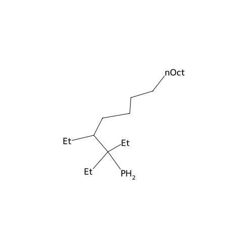 CCCCCCCCCCCCC(CC)C(P)(CC)CC